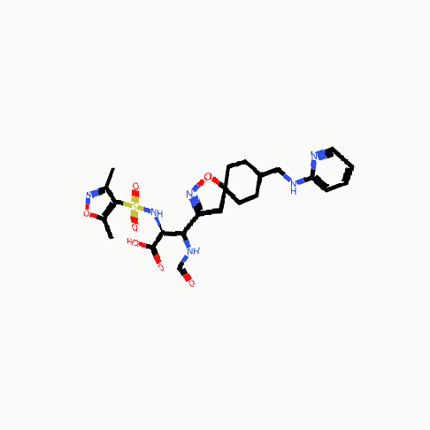 Cc1noc(C)c1S(=O)(=O)N[C@H](C(=O)O)C(NC=O)C1=NOC2(CCC(CNc3ccccn3)CC2)C1